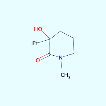 CC(C)C1(O)CCCN(C)C1=O